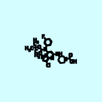 CC(C)(C)OC(=O)N(c1cccc(F)c1)c1cc(NC2CCCN(C(=O)O)C2)nc2c(Cl)cnn12